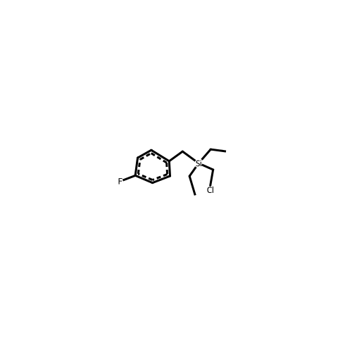 CC[Si](CC)(CCl)Cc1ccc(F)cc1